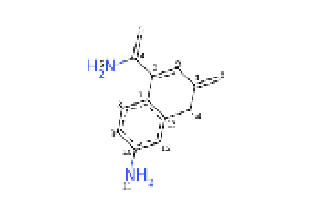 C=C1C=C(C(=C)N)c2ccc(N)cc2C1